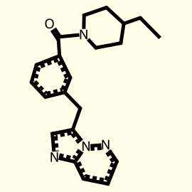 CCC1CCN(C(=O)c2cccc(Cc3cnc4cccnn34)c2)CC1